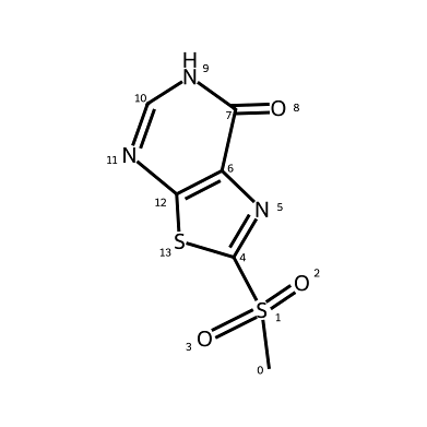 CS(=O)(=O)c1nc2c(=O)[nH]cnc2s1